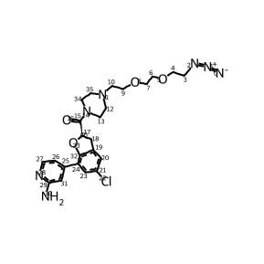 [N-]=[N+]=NCCOCCOCCN1CCN(C(=O)[C@H]2Cc3cc(Cl)cc(-c4ccnc(N)c4)c3O2)CC1